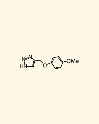 COc1ccc(OCc2c[nH]nn2)cc1